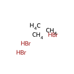 Br.Br.Br.C.C.C